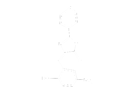 O=C1OC(c2ccccc2)=N/C1=C/c1cc([N+](=O)[O-])ccc1O